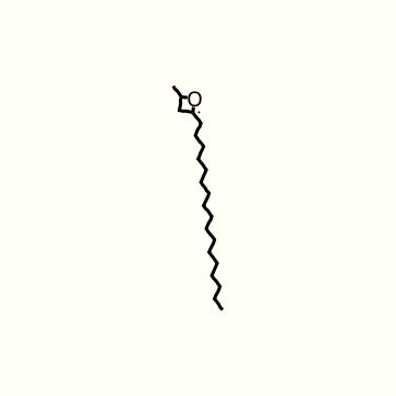 CCCCCCCCCCCCCCCCC[C]1CC(C)O1